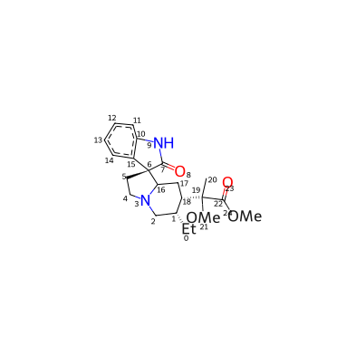 CC[C@@H]1CN2CC[C@@]3(C(=O)Nc4ccccc43)C2C[C@@H]1C(C)(OC)C(=O)OC